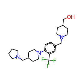 OCC1CCN(Cc2ccc(N3CCC(CN4CCCC4)CC3)c(C(F)(F)F)c2)CC1